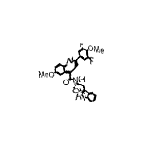 COc1ccc2nc(-c3cc(F)c(OC)c(F)c3)cc(C(=O)N[C@@H](CO)Cc3c[nH]c4ccccc34)c2c1